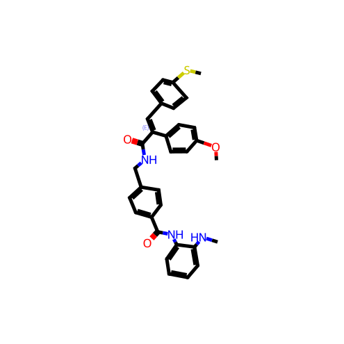 CNc1ccccc1NC(=O)c1ccc(CNC(=O)/C(=C/c2ccc(SC)cc2)c2ccc(OC)cc2)cc1